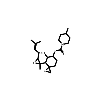 COC1C(OC(=O)N2CCC(C)CC2)CCC2(CO2)C1C1(C)OC1CC=C(C)C